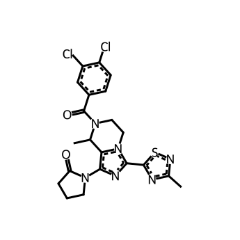 Cc1nsc(-c2nc(N3CCCC3=O)c3n2CCN(C(=O)c2ccc(Cl)c(Cl)c2)C3C)n1